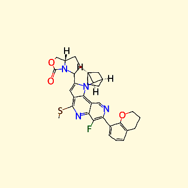 CSc1nc2c(F)c(-c3cccc4c3OCCC4)ncc2c2c1cc(C1CC[C@H]3COC(=O)N13)n2[C@@H]1[C@@H]2CC[C@H]1C2